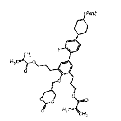 C=C(C)C(=O)OCCCc1cc(-c2ccc(C3CCC(CCCCC)CC3)cc2F)cc(CCCOC(=O)C(=C)C)c1OCC1COC(=O)OC1